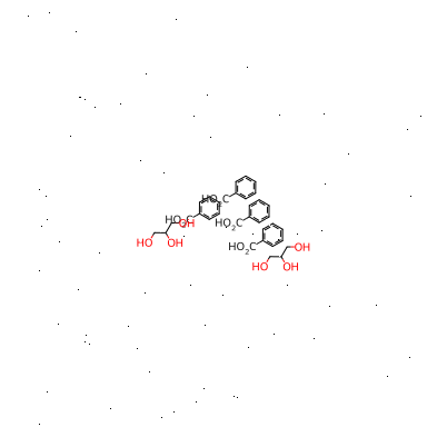 O=C(O)c1ccccc1.O=C(O)c1ccccc1.O=C(O)c1ccccc1.O=C(O)c1ccccc1.OCC(O)CO.OCC(O)CO